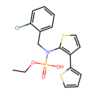 CCOP(=O)(O)N(Cc1ccccc1Cl)c1sccc1-c1cccs1